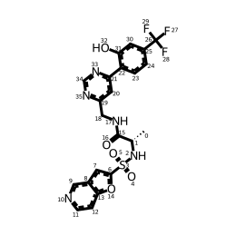 C[C@H](NS(=O)(=O)c1cc2cnccc2o1)C(=O)NCc1cc(-c2ccc(C(F)(F)F)cc2O)ncn1